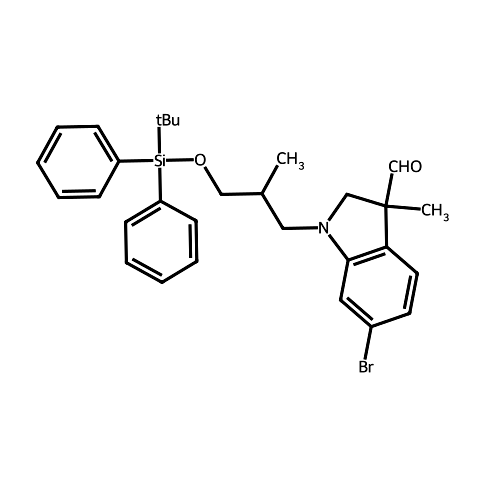 CC(CO[Si](c1ccccc1)(c1ccccc1)C(C)(C)C)CN1CC(C)(C=O)c2ccc(Br)cc21